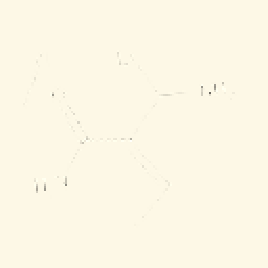 CC=C(C(N)=O)C(N)CC.CCl